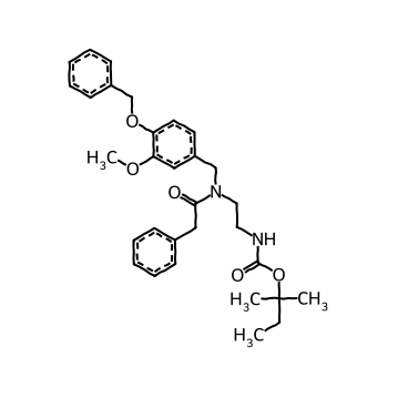 CCC(C)(C)OC(=O)NCCN(Cc1ccc(OCc2ccccc2)c(OC)c1)C(=O)Cc1ccccc1